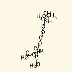 CC(C)(C)OC(=O)NCCOCCOCCOCCOCCC(=O)NC(COCCC(=O)O)COCCC(=O)O